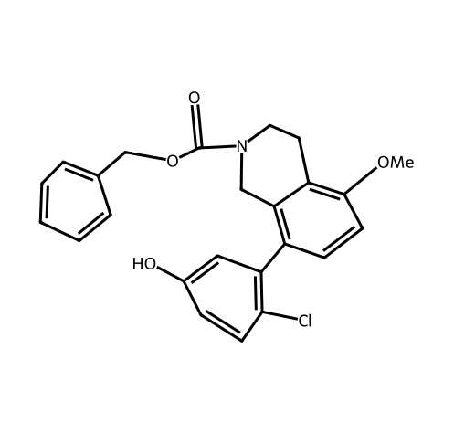 COc1ccc(-c2cc(O)ccc2Cl)c2c1CCN(C(=O)OCc1ccccc1)C2